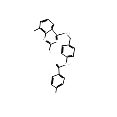 Cc1cccc2c(N[C@H](C)c3ccc(NC(=O)c4ccc(F)cc4)cc3)nc(Cl)nc12